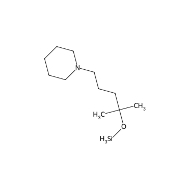 CC(C)(CCCN1CCCCC1)O[SiH3]